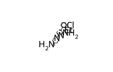 C=C(/C(N)=N\C(=C/C)N1CCC(C)(N)CC1)c1cccc(Cl)c1CC